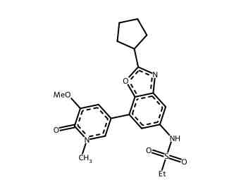 CCS(=O)(=O)Nc1cc(-c2cc(OC)c(=O)n(C)c2)c2oc(C3CCCC3)nc2c1